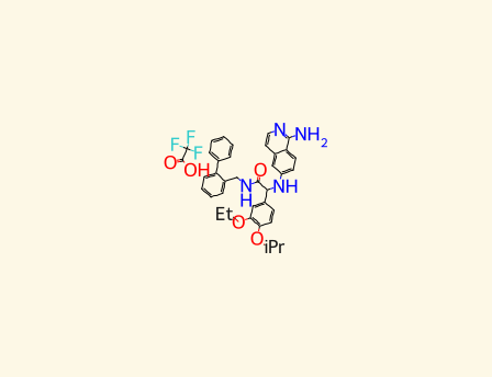 CCOc1cc(C(Nc2ccc3c(N)nccc3c2)C(=O)NCc2ccccc2-c2ccccc2)ccc1OC(C)C.O=C(O)C(F)(F)F